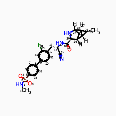 CNS(=O)(=O)c1ccc(-c2ccc(C[C@@H](C#N)NC(=O)[C@H]3N[C@H]4C[C@@H]3[C@@H]3[C@H](C)[C@@H]34)c(F)c2)cc1